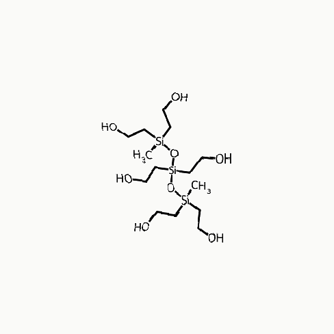 C[Si](CCO)(CCO)O[Si](CCO)(CCO)O[Si](C)(CCO)CCO